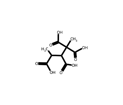 CC(C(=O)O)C(C(=O)O)C(C)(C(=O)O)C(=O)O